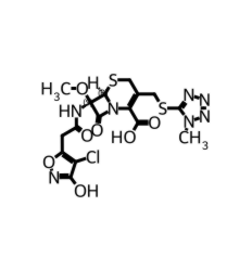 CO[C@@]1(NC(=O)Cc2onc(O)c2Cl)C(=O)N2C(C(=O)O)=C(CSc3nnnn3C)CS[C@@H]21